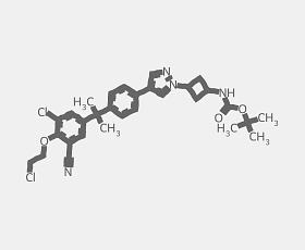 CC(C)(C)OC(=O)NC1CC(n2cc(-c3ccc(C(C)(C)c4cc(Cl)c(OCCCl)c(C#N)c4)cc3)cn2)C1